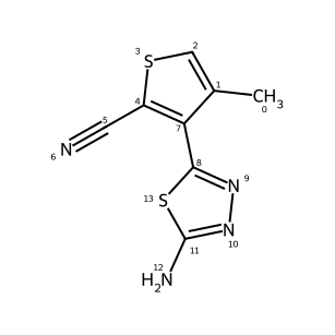 Cc1csc(C#N)c1-c1nnc(N)s1